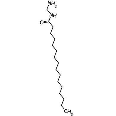 CCCCCCCCCCCCCCCC(=O)NCN